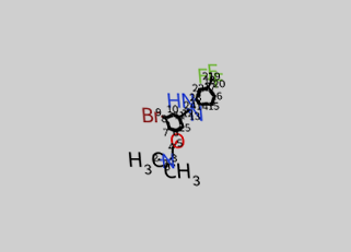 CN(C)CCOc1cc(Br)cc(-c2nc3ccc(C(F)(F)F)cc3[nH]2)c1